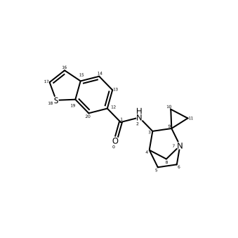 O=C(NC1C2CCN(C2)C12CC2)c1ccc2ccsc2c1